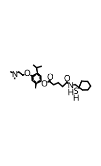 Cc1cc(OCCN(C)C)c(C(C)C)cc1OC(=O)CCCC(=O)NCC1(S)CCCCC1